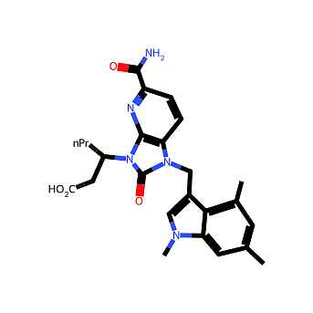 CCCC(CC(=O)O)n1c(=O)n(Cc2cn(C)c3cc(C)cc(C)c23)c2ccc(C(N)=O)nc21